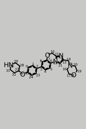 c1cc(-c2ccc3c(c2)OCc2nc(CN4CCOCC4)cn2-3)ccc1OC1CCNCC1